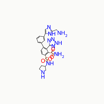 NCc1ncc(-c2cccc(-c3ccc(S(=O)(=O)NC4CCNC4)c(S(N)(=O)=O)c3-c3nn[nH]n3)c2)[nH]1